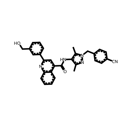 Cc1nn(Cc2ccc(C#N)cc2)c(C)c1NC(=O)c1cc(-c2cccc(CO)c2)nc2ccccc12